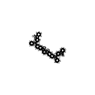 Cn1c2ccccc2c2ccc(N(c3ccccc3)c3ccc4cc5c(cc4c3)oc3c5ccc4c5cc6ccc(N(c7ccccc7)c7ccc8c9ccccc9n(C)c8c7)cc6cc5oc43)cc21